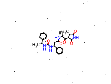 CC(NC(=O)NC(CC(=O)N[C@H](C(=O)C1C(=O)NC(=O)[C@H]1C)C(C)C)c1ccccc1)c1ccccc1